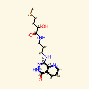 CSCCC(O)C(=O)NCCCNc1n[nH]c(=O)c2cccnc12